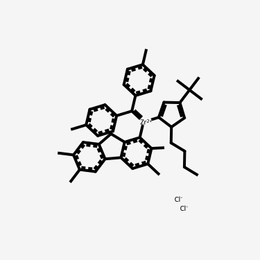 CCCCC1C=C(C(C)(C)C)C=[C]1[Zr+2](=[C](c1ccc(C)cc1)c1ccc(C)cc1)[c]1c(C)c(C)cc2c1Cc1cc(C)c(C)cc1-2.[Cl-].[Cl-]